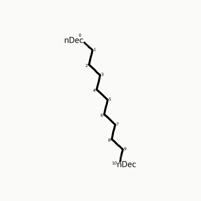 CCC[CH]CCCCCCCCCCCCCCCCCCCCCCCCC